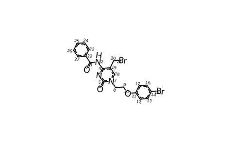 O=C(Nc1nc(=O)n(CCOc2ccc(Br)cc2)cc1CBr)c1ccccc1